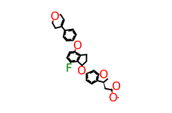 COC(=O)C[C@@H]1COc2cc(O[C@@H]3CCc4c(Oc5ccc(C6=CCOCC6)cc5)ccc(F)c43)ccc21